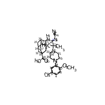 COc1ccc(Cl)cc1N1CCN(C(C)(C)/C(=N/C#N)NC2C3CC4CC2CC(C(=O)O)(C4)C3)CC1